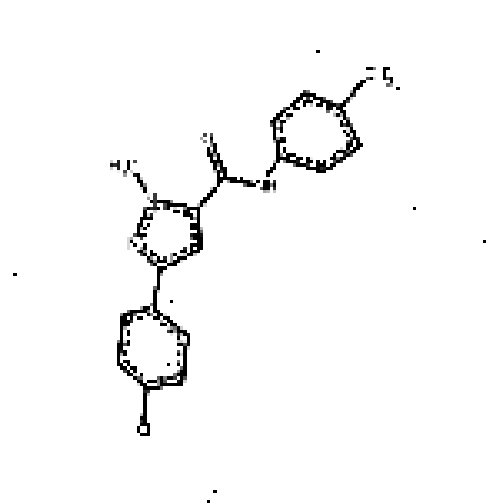 Cc1ccc(NC(=O)c2cc(-c3ccc(Cl)cc3)nn2C)cc1